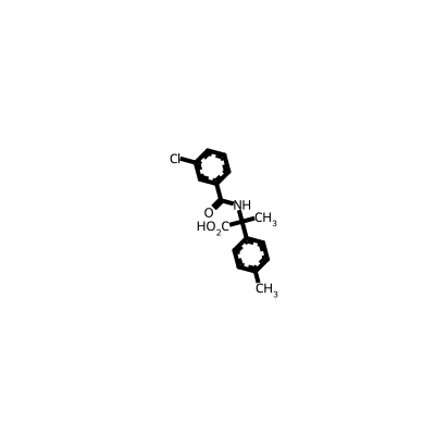 Cc1ccc(C(C)(NC(=O)c2cccc(Cl)c2)C(=O)O)cc1